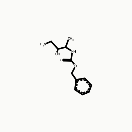 CC(NC(=O)OCc1ccccc1)C(O)CN